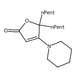 CCCCCC1(CCCCC)OC(=O)C=C1N1CCCCC1